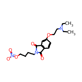 CCN(CC)CCOc1ccc2c(c1)C(=O)N(CCCCO[N+](=O)[O-])C2=O